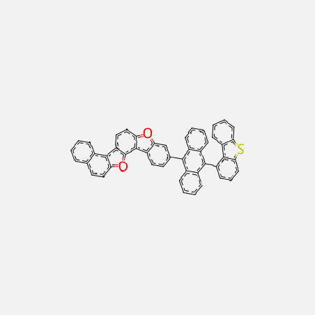 c1ccc2c(c1)ccc1oc3c(ccc4oc5cc(-c6c7ccccc7c(-c7cccc8sc9ccccc9c78)c7ccccc67)ccc5c43)c12